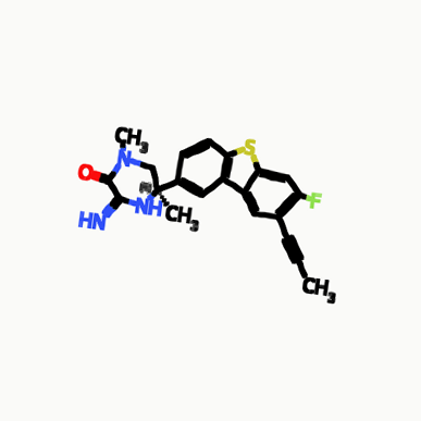 CC#Cc1cc2c(cc1F)sc1ccc([C@]3(C)CN(C)C(=O)C(=N)N3)cc12